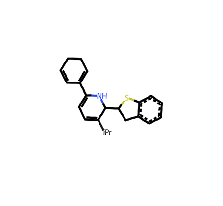 CC(C)C1=CC=C(C2=CCCC=C2)NC1C1Cc2ccccc2S1